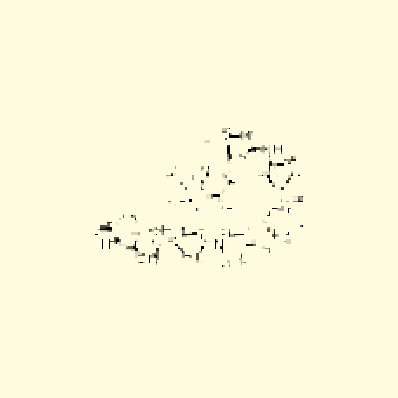 Cc1nc2c(F)cc(-c3nc(Nc4ccc(CC5CCN(CC6CCN(c7ccc(C(=O)NC8CCC(=O)NC8=O)cc7)CC6)CC5)cn4)ncc3F)cc2n1C(C)C